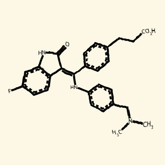 CN(C)Cc1ccc(NC(=C2C(=O)Nc3cc(F)ccc32)c2ccc(CCC(=O)O)cc2)cc1